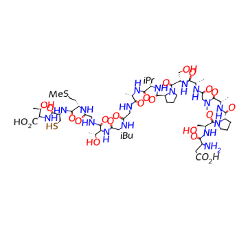 CC[C@H](C)[C@H](NC(=O)CNC(=O)[C@H](C)NC(=O)[C@@H](NC(=O)[C@@H]1CCCN1C(=O)[C@H](CO)NC(=O)[C@H](C)NC(=O)CN(C)C(=O)[C@H](C)NC(=O)[C@@H]1CCCN1C(=O)[C@H](CO)NC(=O)[C@@H](N)CC(=O)O)C(C)C)C(=O)N[C@H](C(=O)NCC(=O)N[C@@H](CCSC)C(=O)N[C@@H](CS)C(=O)N[C@H](C(=O)O)[C@@H](C)O)[C@@H](C)O